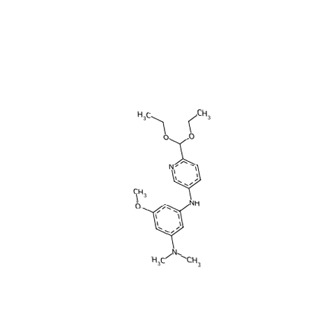 CCOC(OCC)c1ccc(Nc2cc(OC)cc(N(C)C)c2)cn1